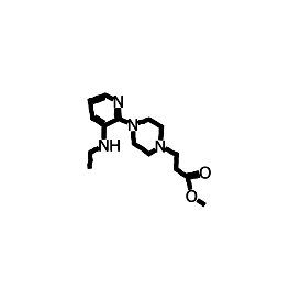 CCNc1cccnc1N1CCN(CCC(=O)OC)CC1